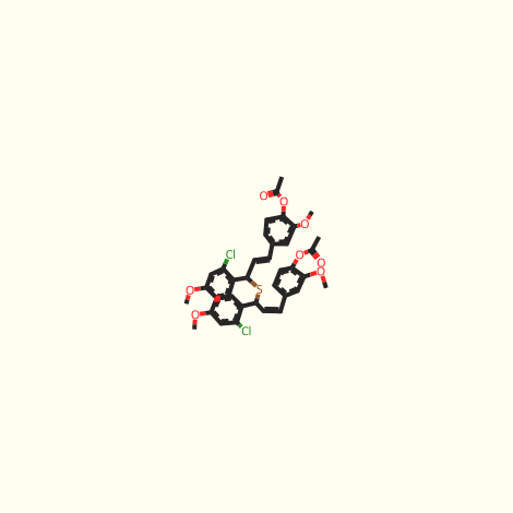 COc1ccc(C(C=Cc2ccc(OC(C)=O)c(OC)c2)SC(/C=C\c2ccc(OC(C)=O)c(OC)c2)c2ccc(OC)cc2Cl)c(Cl)c1